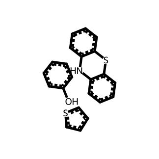 Oc1ccccc1.c1ccc2c(c1)Nc1ccccc1S2.c1ccsc1